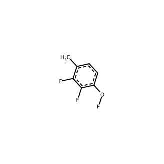 Cc1ccc(OF)c(F)c1F